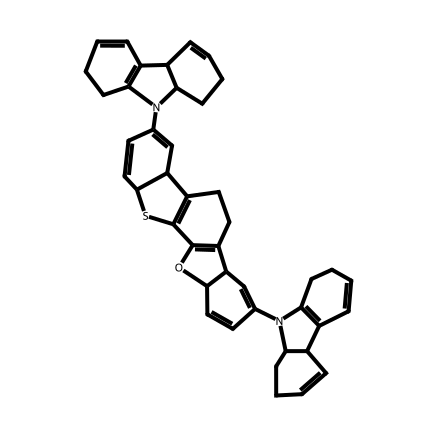 C1=CC2=C(CC1)N(C1=CC3C4=C(OC3C=C1)C1=C(CC4)C3C=C(N4C5=C(C=CCC5)C5C=CCCC54)C=CC3S1)C1CCC=CC21